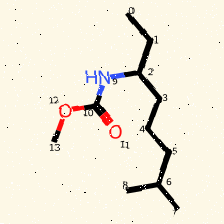 CCC(CCCC(C)C)NC(=O)OC